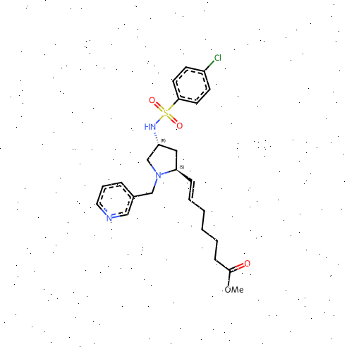 COC(=O)CCCCC=C[C@@H]1C[C@@H](NS(=O)(=O)c2ccc(Cl)cc2)CN1Cc1cccnc1